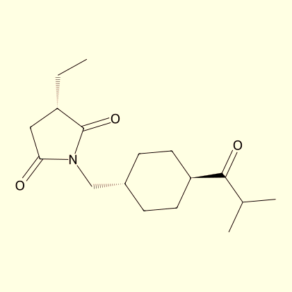 CC[C@H]1CC(=O)N(C[C@H]2CC[C@H](C(=O)C(C)C)CC2)C1=O